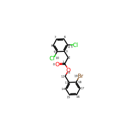 O=C([CH]c1c(Cl)cccc1Cl)OCc1ccccc1Br